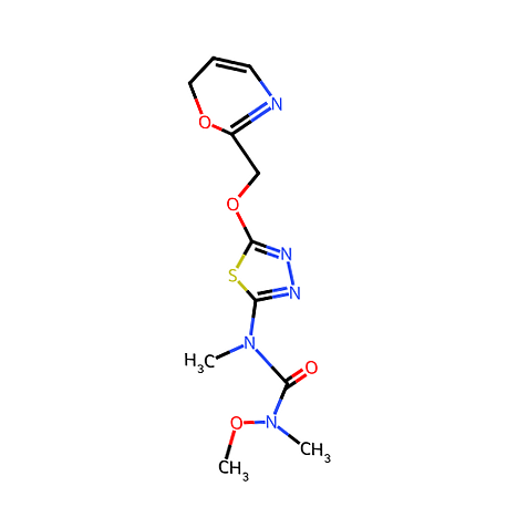 CON(C)C(=O)N(C)c1nnc(OCC2=NC=CCO2)s1